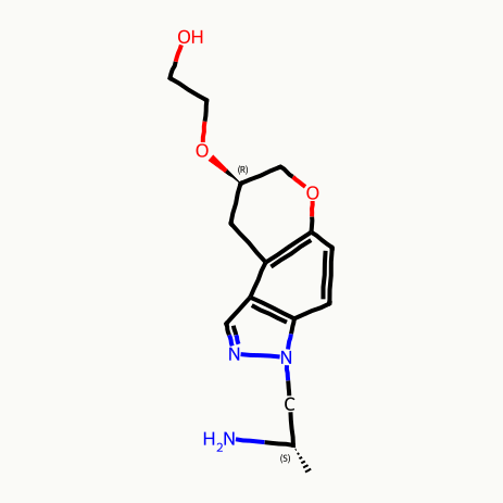 C[C@H](N)Cn1ncc2c3c(ccc21)OC[C@H](OCCO)C3